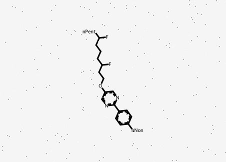 CCCCCCCCCc1ccc(-c2ncc(OCCC(F)CCCC(F)CCCCC)cn2)cc1